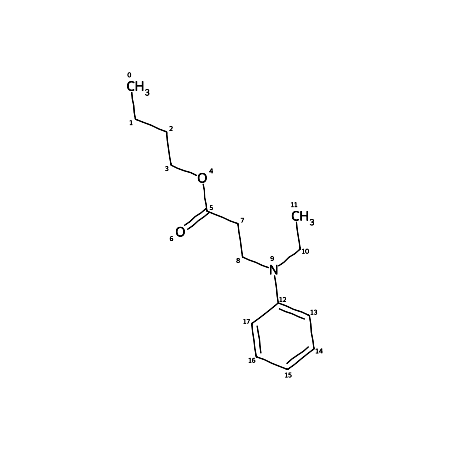 CCCCOC(=O)CCN(CC)c1ccccc1